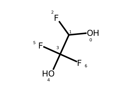 OC(F)C(O)(F)F